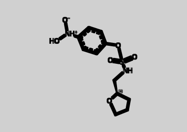 O=S(=O)(NC[C@H]1CCCO1)Oc1ccc([NH+]([O-])O)cc1